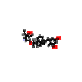 C=C1C(=CC=C2CCC[C@]3(C)C(C(C)(C)OC/C=C\C(O)(CC)CC)=CC[C@@H]23)C[C@@H](O)C[C@@H]1O